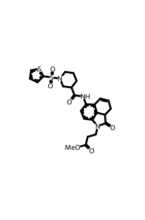 COC(=O)CCN1C(=O)C2CC=Cc3c(NC(=O)C4CCCN(S(=O)(=O)c5cccs5)C4)ccc1c32